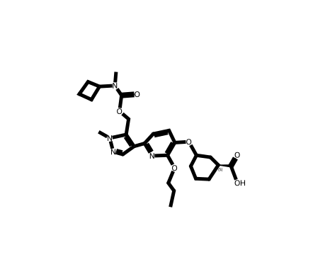 CCCOc1nc(-c2cnn(C)c2COC(=O)N(C)C2CCC2)ccc1OC1CCC[C@H](C(=O)O)C1